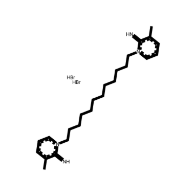 Br.Br.Cc1cccn(CCCCCCCCCCCCn2cccc(C)c2=N)c1=N